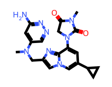 CN1C(=O)CN(c2cc(C3CC3)cn3cc(CN(C)c4cnnc(N)c4)nc23)C1=O